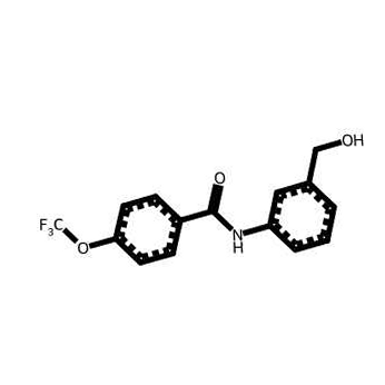 O=C(Nc1cccc(CO)c1)c1ccc(OC(F)(F)F)cc1